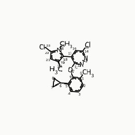 Cc1cccc(C2CC2)c1Oc1nnc(Cl)cc1-c1c(C)cc(Cl)n1C